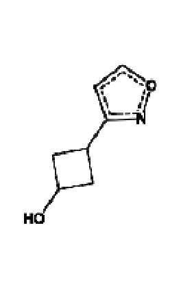 OC1CC(c2ccon2)C1